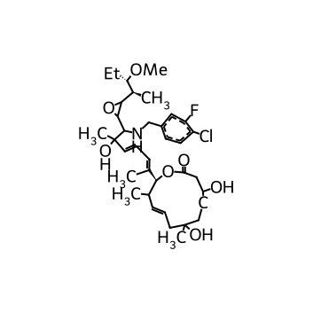 CC[C@H](OC)[C@@H](C)C1OC1C(NCc1ccc(Cl)c(F)c1)C(C)(O)/C=C/C=C(\C)[C@H]1OC(=O)CC(O)CCC(C)(O)C/C=C/C1C